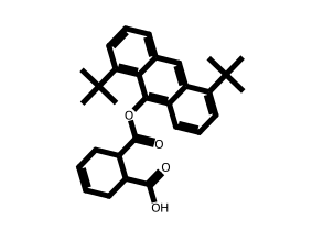 CC(C)(C)c1cccc2c(OC(=O)C3CC=CCC3C(=O)O)c3c(C(C)(C)C)cccc3cc12